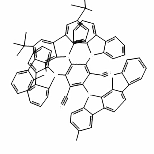 Cc1ccc2c(c1)c1ccc3c4ccccc4sc3c1n2-c1c(C#N)c(-n2c3ccccc3c3ccccc32)c(-n2c3ccc(C(C)(C)C)cc3c3cc(C(C)(C)C)c4c5ccccc5oc4c32)c(-n2c3ccccc3c3ccccc32)c1C#N